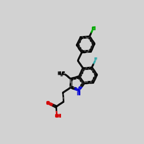 Cc1c(CCC(=O)O)[nH]c2ccc(F)c(Cc3ccc(Cl)cc3)c12